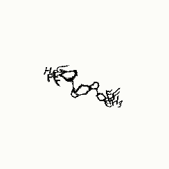 Cc1ccc(-c2cccc3cc4c(-c5ccc(C)c(C(F)(F)F)c5)cccc4cc23)cc1C(F)(F)F